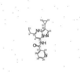 O=C(Nc1cc(CI)nc2c(C3CC3)cnn12)c1cccnc1